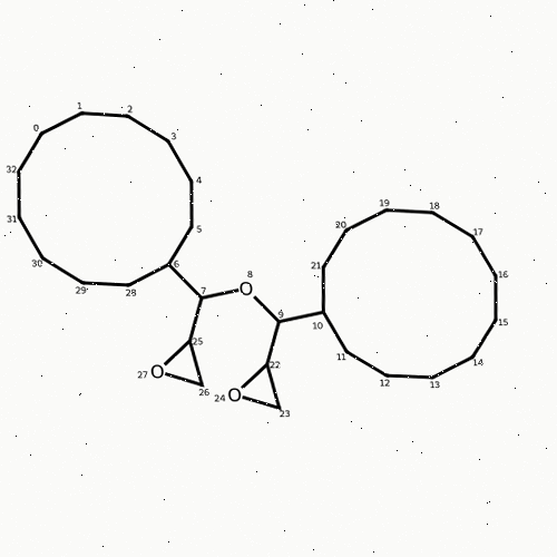 C1CCCCCC(C(OC(C2CCCCCCCCCCC2)C2CO2)C2CO2)CCCCC1